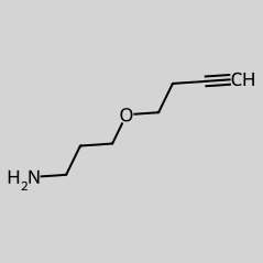 C#CCCOCCCN